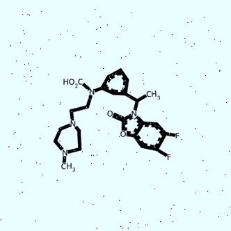 CC(c1cccc(N(CCN2CCN(C)CC2)C(=O)O)c1)n1c(=O)oc2cc(F)c(F)cc21